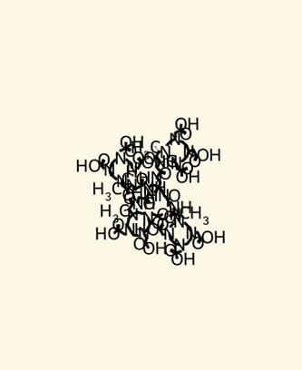 C[C@H](C(=O)NCC(=O)NCC(CNC(=O)CNC(=O)[C@@H](C)N1CCN(CC(=O)O)CCN(CC(=O)O)CCN(CC(=O)O)CC1)(CNC(=O)CNC(=O)[C@H](C)N1CCN(CC(=O)O)CCN(CC(=O)O)CCN(CC(=O)O)CC1)CNC(=O)CNC(=O)[C@H](C)N1CCN(CC(=O)O)CCN(CC(=O)O)CCN(CC(=O)O)CC1)N1CCN(CC(=O)O)CCN(CC(=O)O)CCN(CC(=O)O)CC1